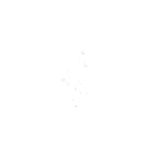 Fc1ccc(-c2cccc3[nH]c(-c4n[nH]c5ccc(-c6cncc(CN7CCCCC7)c6)cc45)cc23)cc1